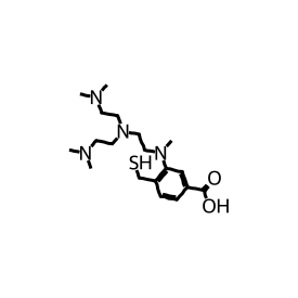 CN(C)CCN(CCN(C)C)CCN(C)c1cc(C(=O)O)ccc1CS